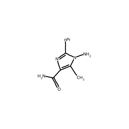 CCCc1nc(C(N)=O)c(C)n1N